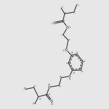 CCC(C)C(=O)OCCOc1cccc(OCCOC(=O)C(C)CC)c1